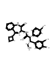 O=C1Nc2ccccc2C(C2CCC2)=NC1NC(=O)[C@H](c1ccc(F)cc1)[C@@H](CO)c1ccc(F)c(F)c1